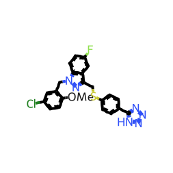 COc1ccc(Cl)cc1Cn1nc(CSc2ccc(-c3nnn[nH]3)cc2)c2cc(F)ccc21